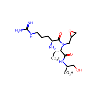 N=C(N)NCCC[C@H](N)C(=O)N(CC1CO1)[C@@H](CC(=O)O)C(=O)N[C@@H](CO)C(=O)O